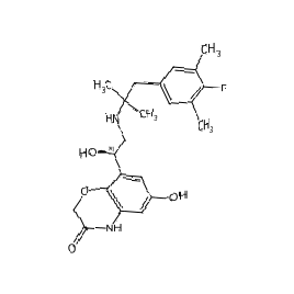 Cc1cc(CC(C)(C)NC[C@H](O)c2cc(O)cc3c2OCC(=O)N3)cc(C)c1F